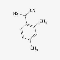 Cc1ccc(C(S)C#N)c(C)c1